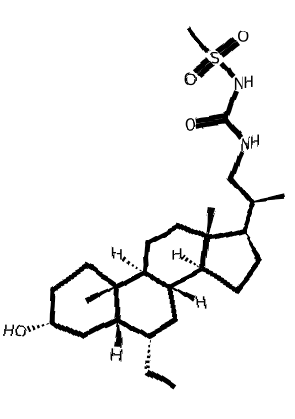 CC[C@H]1C[C@@H]2[C@H](CC[C@]3(C)[C@@H]([C@H](C)CNC(=O)NS(C)(=O)=O)CC[C@@H]23)[C@@]2(C)CC[C@@H](O)C[C@@H]12